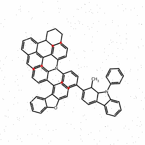 CC1C(c2ccc(N(c3ccccc3-c3cccc4cccc(C5CCCCC5)c34)c3ccccc3-c3cccc4oc5ccccc5c34)cc2)=CC=C2c3ccccc3N(c3ccccc3)C21